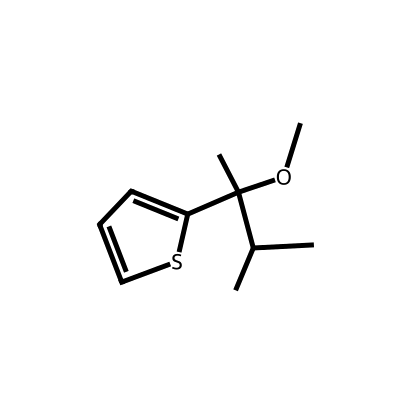 COC(C)(c1cccs1)C(C)C